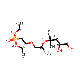 CCOP(=O)(CCOCC(C)OC(C)(C)CC(O)CO)OCC